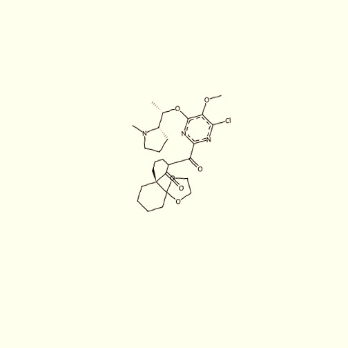 COc1c(Cl)nc(C(=O)C2CCC[C@@]3(CCCCC34OCCO4)C2=O)nc1O[C@@H](C)[C@@H]1CCCN1C